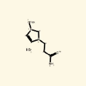 Br.CCCCCCN1C=CN(CCC(N)=O)C1